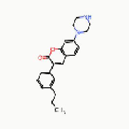 CCCc1cccc(-c2cc3ccc(N4CCNCC4)cc3oc2=O)c1